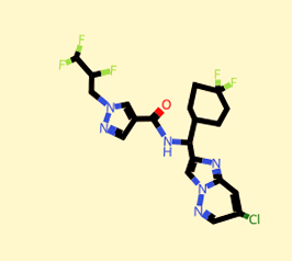 O=C(NC(c1cn2ncc(Cl)cc2n1)C1CCC(F)(F)CC1)c1cnn(CC(F)C(F)F)c1